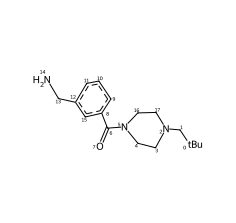 CC(C)(C)CN1CCN(C(=O)c2cccc(CN)c2)CC1